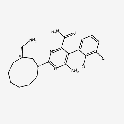 NC[C@@H]1CCCCCCN(c2nc(N)c(-c3cccc(Cl)c3Cl)c(C(N)=O)n2)C1